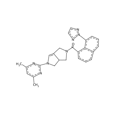 Cc1cc(C)nc(N2C=C3CN(C(=O)c4cccc5cccc(-n6nccn6)c45)CC3C2)n1